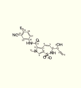 C#CC(O)C1C=Cc2c(cn(C)c2C(=O)Nc2ccc(F)c(C#N)c2)S(=O)(=O)N1